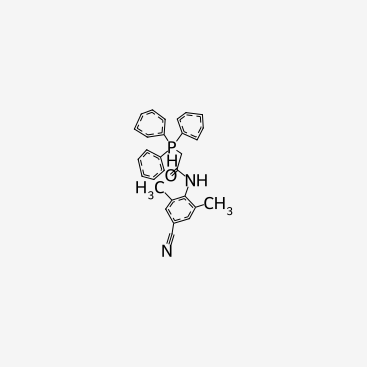 Cc1cc(C#N)cc(C)c1NC(=O)C[PH](c1ccccc1)(c1ccccc1)c1ccccc1